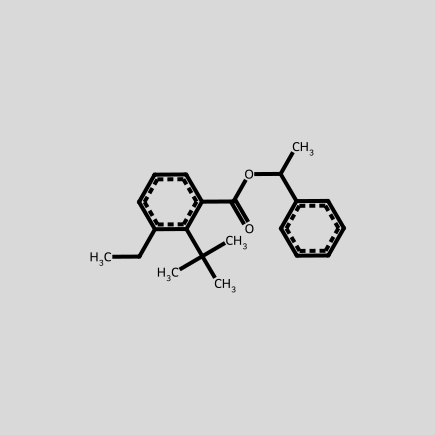 CCc1cccc(C(=O)OC(C)c2ccccc2)c1C(C)(C)C